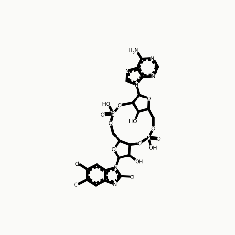 Nc1ncnc2c1ncn2C1OC2COP(=O)(O)OC3C(COP(=O)(O)OC1C2O)OC(n1c(Cl)nc2cc(Cl)c(Cl)cc21)C3O